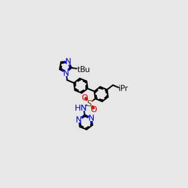 CC(C)Cc1ccc(S(=O)(=O)Nc2ncccn2)c(-c2ccc(Cn3ccnc3C(C)(C)C)cc2)c1